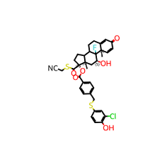 C[C@]12C=CC(=O)C=C1CCC1C3CC[C@](OC(=O)c4ccc(CSc5ccc(O)c(Cl)c5)cc4)(C(=O)SCC#N)[C@@]3(C)C[C@H](O)C12F